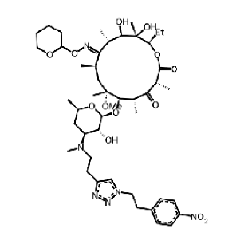 CC[C@H]1OC(=O)[C@H](C)C(=O)[C@H](C)[C@@H](O[C@@H]2O[C@H](C)C[C@H](N(C)CCc3cn(CCc4ccc([N+](=O)[O-])cc4)nn3)[C@H]2O)[C@](C)(OC)C[C@@H](C)/C(=N\OC2CCCCO2)[C@H](C)[C@@H](O)[C@]1(C)O